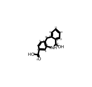 O=C(O)c1ccc2c(c1)NC(O)c1ccccc1C2